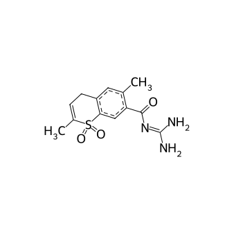 CC1=CCc2cc(C)c(C(=O)N=C(N)N)cc2S1(=O)=O